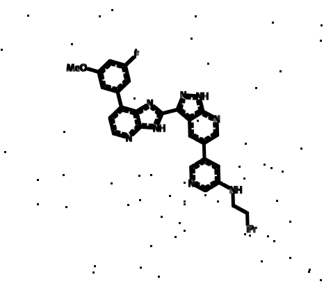 COc1cc(F)cc(-c2ccnc3[nH]c(-c4n[nH]c5ncc(-c6cncc(NCCC(C)C)c6)cc45)nc23)c1